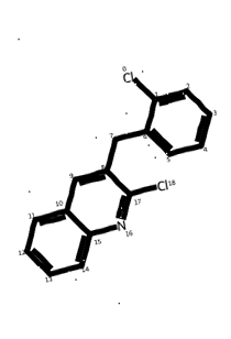 Clc1ccccc1Cc1cc2ccccc2nc1Cl